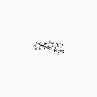 C[C@@H]1CC(=O)NN=C1c1ccc2nc(-c3ccccc3)oc2c1